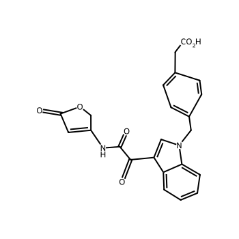 O=C(O)Cc1ccc(Cn2cc(C(=O)C(=O)NC3=CC(=O)OC3)c3ccccc32)cc1